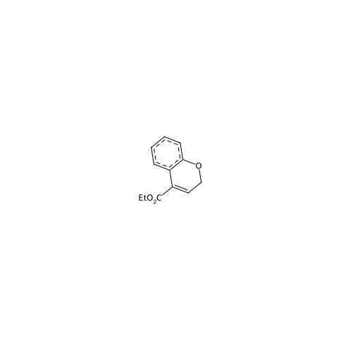 CCOC(=O)C1=CCOc2ccccc21